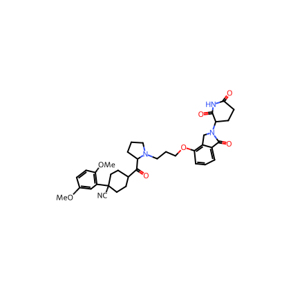 COc1ccc(OC)c(C2(C#N)CCC(C(=O)C3CCCN3CCCOc3cccc4c3CN(C3CCC(=O)NC3=O)C4=O)CC2)c1